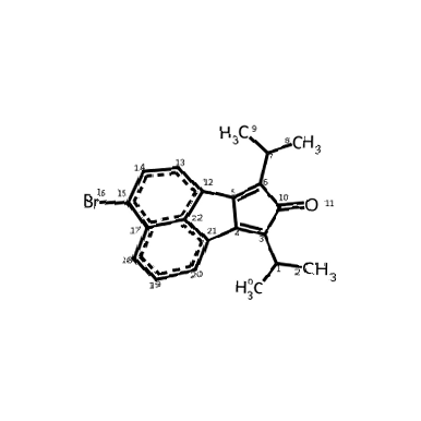 CC(C)C1=C2C(=C(C(C)C)C1=O)c1ccc(Br)c3cccc2c13